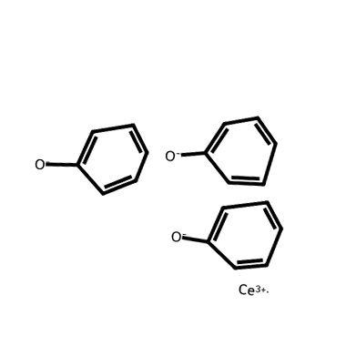 [Ce+3].[O-]c1ccccc1.[O-]c1ccccc1.[O-]c1ccccc1